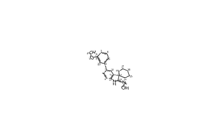 COc1cccc(-c2ccc3c(c2)C2(CCCCC2)/C(=N/O)N3)c1